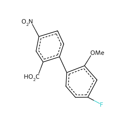 COc1cc(F)ccc1-c1ccc([N+](=O)[O-])cc1C(=O)O